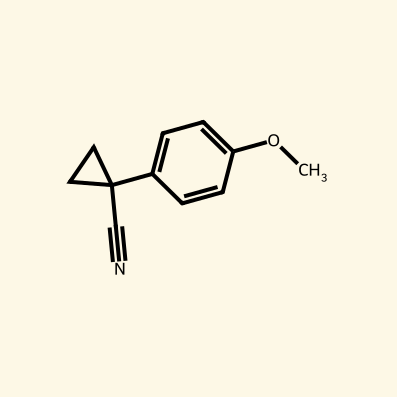 COc1ccc(C2(C#N)CC2)cc1